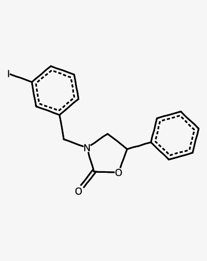 O=C1OC(c2ccccc2)CN1Cc1cccc(I)c1